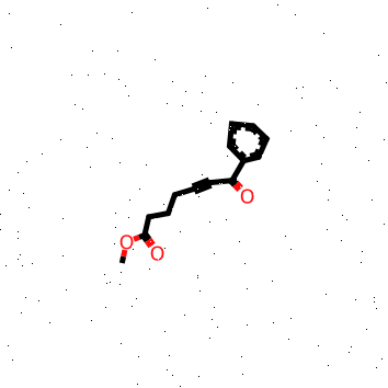 COC(=O)CCCC#CC(=O)c1ccccc1